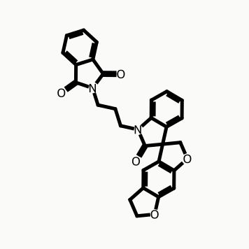 O=C1c2ccccc2C(=O)N1CCCN1C(=O)C2(COc3cc4c(cc32)CCO4)c2ccccc21